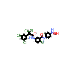 O=C(Nc1ccc(NO)cc1F)c1cc(NC(=O)C2C(c3cc(Cl)cc(Cl)c3)C2(Cl)Cl)ccc1Cl